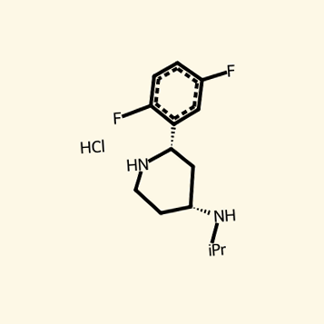 CC(C)N[C@@H]1CCN[C@H](c2cc(F)ccc2F)C1.Cl